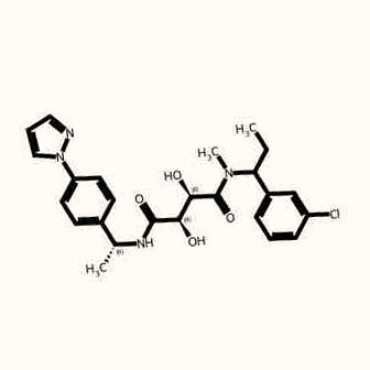 CCC(c1cccc(Cl)c1)N(C)C(=O)[C@H](O)[C@@H](O)C(=O)N[C@H](C)c1ccc(-n2cccn2)cc1